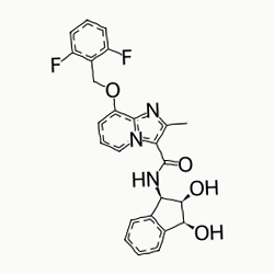 Cc1nc2c(OCc3c(F)cccc3F)cccn2c1C(=O)N[C@@H]1c2ccccc2[C@H](O)[C@@H]1O